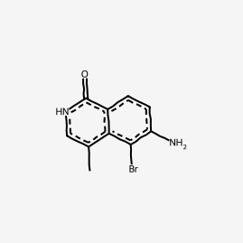 Cc1c[nH]c(=O)c2ccc(N)c(Br)c12